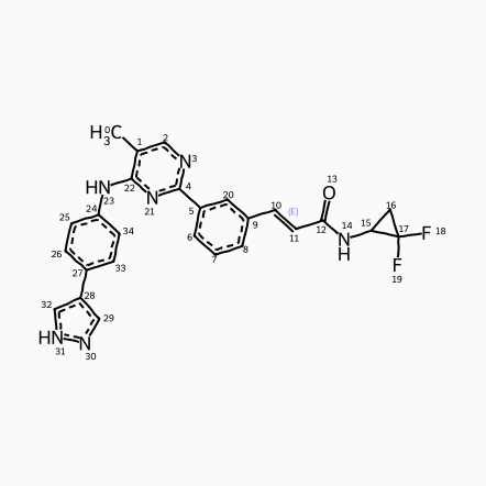 Cc1cnc(-c2cccc(/C=C/C(=O)NC3CC3(F)F)c2)nc1Nc1ccc(-c2cn[nH]c2)cc1